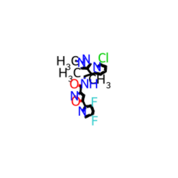 Cc1c(C(C)(CNC(=O)c2cc(-c3ncc(F)cc3F)on2)c2cccc(Cl)n2)cnn1C